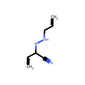 C=CCN[N]C(C#N)C=C